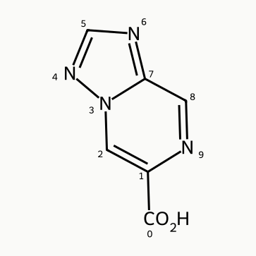 O=C(O)c1cn2ncnc2cn1